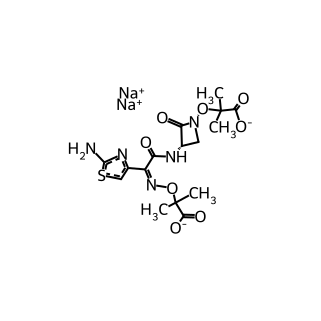 CC(C)(O/N=C(\C(=O)N[C@H]1CN(OC(C)(C)C(=O)[O-])C1=O)c1csc(N)n1)C(=O)[O-].[Na+].[Na+]